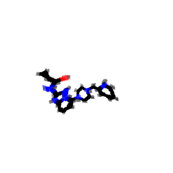 O=C(Nc1nc2cccc(N3CCN(Cc4ccccn4)CC3)n2n1)C1CC1